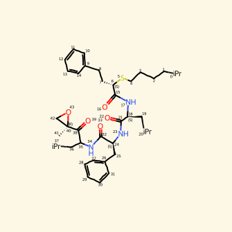 CC(C)CCCCS[C@@H](CCc1ccccc1)C(=O)N[C@@H](CC(C)C)C(=O)N[C@@H](Cc1ccccc1)C(=O)NC(CC(C)C)C(=O)[C@@]1(C)CO1